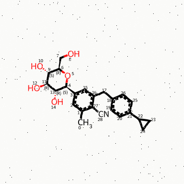 Cc1cc([C@@H]2O[C@H](CO)[C@@H](O)[C@H](O)[C@H]2O)cc(Cc2ccc(C3CC3)cc2)c1C#N